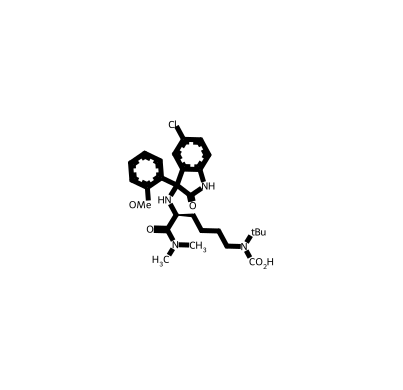 COc1ccccc1C1(N[C@@H](CCCCN(C(=O)O)C(C)(C)C)C(=O)N(C)C)C(=O)Nc2ccc(Cl)cc21